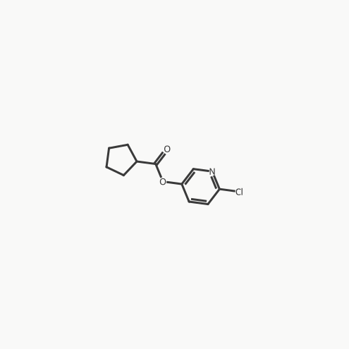 O=C(Oc1ccc(Cl)nc1)C1CCCC1